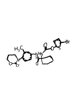 Cc1cc(NC(=O)C2(NC(=O)Oc3ccc(Br)s3)CCCC2)ccc1N1CCCOC1=O